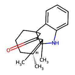 C[C@@H]1CCCC23CC(=O)C(C)(C)C12Nc1ccccc13